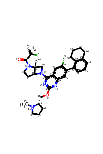 C=C(F)C(=O)N1CCC2[C@H]1CN2c1nc(OC[C@@H]2CCCN2C)nc2cc(-c3cccc4c3CCCC4)c(Cl)cc12